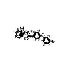 O=C(N[C@H]1CN2CCC1CC2)c1ccc(Oc2cccc(F)c2)cc1